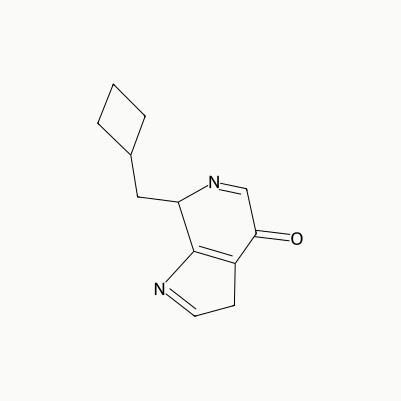 O=C1C=NC(CC2CCC2)C2=C1CC=N2